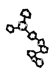 c1ccc(-c2nc(-c3ccccc3)nc(-c3ccc(-c4ccc5cccc(-c6cccc7sc8cccnc8c67)c5n4)cc3)n2)cc1